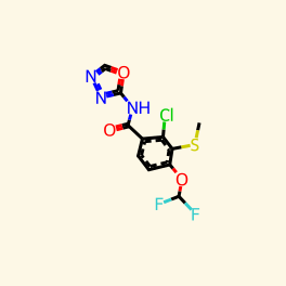 CSc1c(OC(F)F)ccc(C(=O)Nc2nnco2)c1Cl